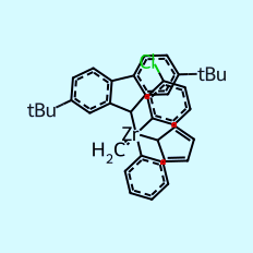 [CH2]=[Zr]([c]1ccccc1)([c]1cccc(Cl)c1)([CH]1C=CC=C1)[CH]1c2cc(C(C)(C)C)ccc2-c2ccc(C(C)(C)C)cc21